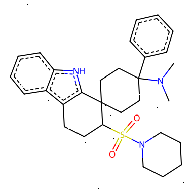 CN(C)C1(c2ccccc2)CCC2(CC1)c1[nH]c3ccccc3c1CCC2S(=O)(=O)N1CCCCC1